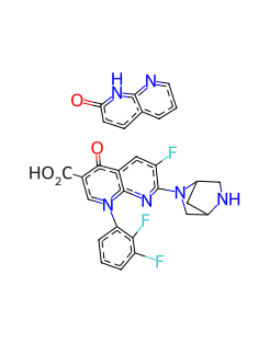 O=C(O)c1cn(-c2cccc(F)c2F)c2nc(N3CC4CC3CN4)c(F)cc2c1=O.O=c1ccc2cccnc2[nH]1